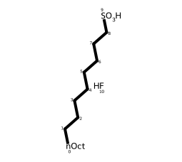 CCCCCCCCCCCCCCCCS(=O)(=O)O.F